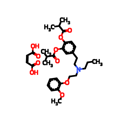 CCCN(CCOc1ccccc1OC)CCc1ccc(OC(=O)C(C)C)c(OC(=O)C(C)C)c1.O=C(O)/C=C\C(=O)O